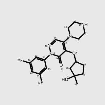 CC1(O)CCC(Oc2c(N3CCNCC3)cnn(-c3cc(F)cc(F)c3)c2=O)C1